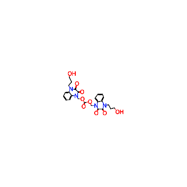 O=C(OCn1c(=O)c(=O)n(CCCO)c2ccccc21)OCn1c(=O)c(=O)n(CCCO)c2ccccc21